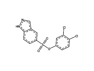 O=S(=O)(Oc1ccc(Cl)c(Cl)c1)c1ccc2[nH]ncc2c1